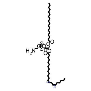 CCCCC/C=C\C/C=C\CCCCCCCCCCCC(=O)O[C@H](COC(=O)CCCCCCCCCCCCCCCCC)COP(=O)(O)OCCN